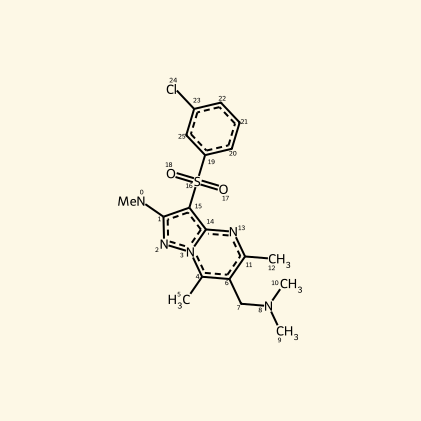 CNc1nn2c(C)c(CN(C)C)c(C)nc2c1S(=O)(=O)c1cccc(Cl)c1